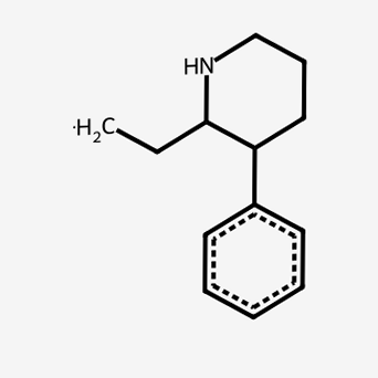 [CH2]CC1NCCCC1c1ccccc1